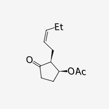 CC/C=C\C[C@@H]1C(=O)CC[C@@H]1OC(C)=O